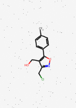 OCc1c(CCl)noc1-c1ccc(C(F)(F)F)cc1